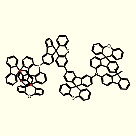 CC1(C)c2ccccc2-c2ccc(N(c3ccc4c(c3)-c3cc(-c5ccc6c(c5)Sc5ccccc5C65c6ccccc6-c6cc(N(c7cccc8c7-c7ccccc7C87c8ccccc8Oc8ccccc87)c7cccc8c7-c7ccccc7C87c8ccccc8-c8ccccc87)ccc65)ccc3C43c4ccccc4Sc4ccccc43)c3cccc4c3-c3ccccc3C43c4ccccc4Oc4ccccc43)cc21